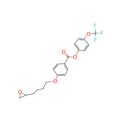 O=C(Oc1ccc(OC(F)(F)F)cc1)c1ccc(OCCCCC2CO2)cc1